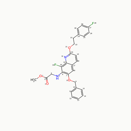 COC(=O)CNc1c(OCc2ccccc2)cc2ccc(OCCc3ccc(F)cc3)nc2c1F